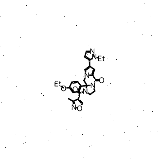 CCOc1ccc(C23Cn4cc(-c5ccnn5CC)cc4C(=O)N2CCN3C(=O)c2conc2C)cc1